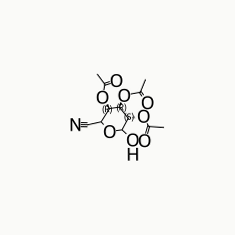 CC(=O)O[C@H]1[C@H](OC(C)=O)C(O)OC(C#N)[C@H]1OC(C)=O